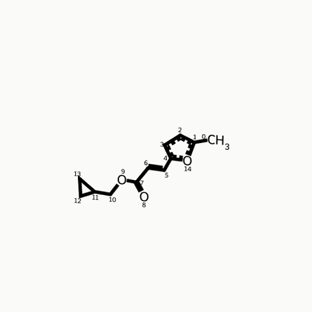 Cc1ccc(C=CC(=O)OCC2CC2)o1